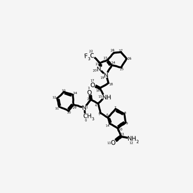 CN(C(=O)C(Cc1cccc(C(N)=O)c1)NC(=O)Cn1nc(C(F)(F)F)c2c1CCCC2)c1ccccc1